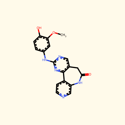 COc1cc(Nc2ncc3c(n2)-c2ccncc2NC(=O)C3)ccc1O